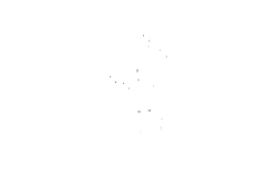 Cc1nn(Cc2ccc(Cl)cc2)c(C)c1C1=NCCN1